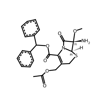 CO[C@@]1(N)C(=O)N2C(C(=O)OC(c3ccccc3)c3ccccc3)=C(COC(C)=O)CS[C@@H]21